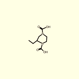 CCC1CN(C(=O)O)CCN1C(=O)O